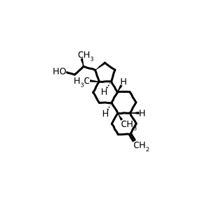 C=C1CC[C@@]2(C)[C@H](CC[C@@H]3[C@@H]2CC[C@]2(C)[C@@H]([C@H](C)CO)CC[C@@H]32)C1